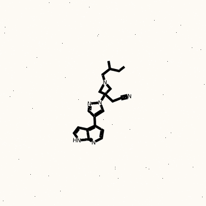 CCC(C)CN1CC(CC#N)(n2cc(-c3ccnc4[nH]ccc34)cn2)C1